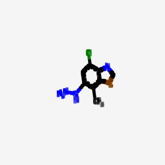 NNc1cc(Cl)c2ncsc2c1C(F)(F)F